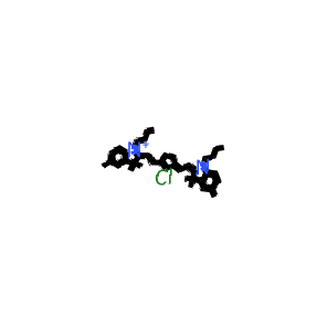 CCCCN1/C(=C/C=C2\CCC(/C=C/C3=[N+](CCCC)c4ccc(C)cc4C3(C)C)=C2Cl)C(C)(C)c2cc(C)ccc21